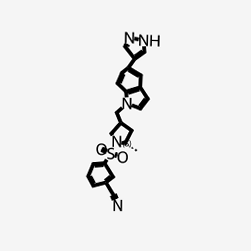 C[C@H]1CC(Cn2ccc3cc(-c4cn[nH]c4)ccc32)CN1S(=O)(=O)c1cccc(C#N)c1